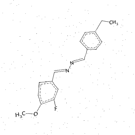 CCc1ccc(/C=N/N=C/c2ccc(OC)c(F)c2)cc1